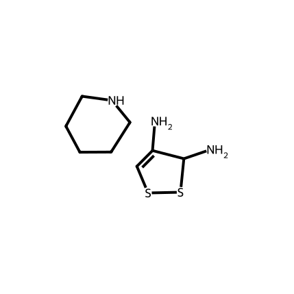 C1CCNCC1.NC1=CSSC1N